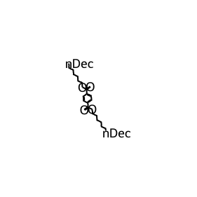 CCCCCCCCCCCCCCCCOC(=O)c1ccc(C(=O)OCCCCCCCCCCCCCCCC)cc1